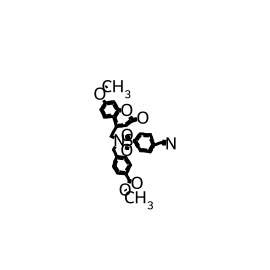 COC(=O)c1ccc(CN(Cc2cc(=O)oc3cc(OC)ccc23)S(=O)(=O)c2ccc(C#N)cc2)cc1